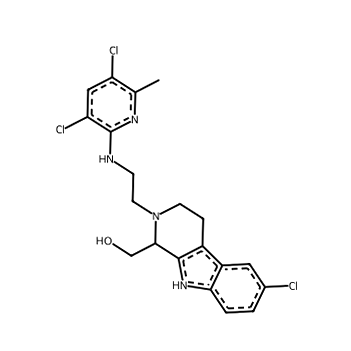 Cc1nc(NCCN2CCc3c([nH]c4ccc(Cl)cc34)C2CO)c(Cl)cc1Cl